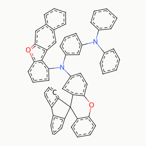 c1ccc(N(c2ccccc2)c2cccc(N(c3ccc4c(c3)C3(c5ccccc5O4)c4ccccc4-c4ccccc43)c3cccc4oc5cc6ccccc6cc5c34)c2)cc1